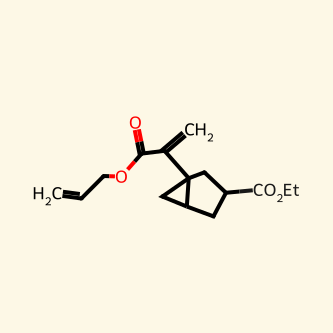 C=CCOC(=O)C(=C)C12CC(C(=O)OCC)CC1C2